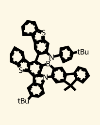 CC(C)(C)c1ccc(N2B3c4cc5c(cc4-n4c6ccc(C(C)(C)C)cc6c6c7sc8ccccc8c7c(c3c64)-c3cc4c(cc32)sc2ccccc24)C(C)(C)c2ccccc2-5)cc1